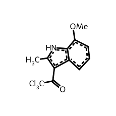 COc1cccc2c(C(=O)C(Cl)(Cl)Cl)c(C)[nH]c12